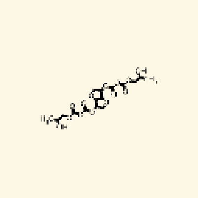 CC(O)COC(=O)OC(=O)OC1COC2C(OC(=O)OC(=O)OCC(C)O)COC12